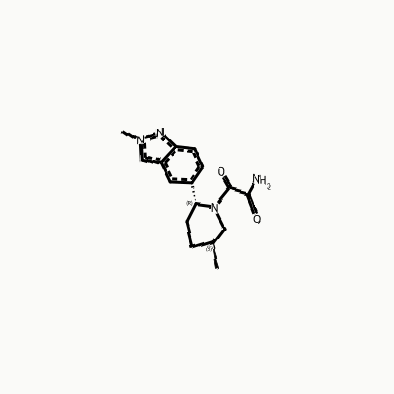 C[C@H]1CC[C@H](c2ccc3nn(C)cc3c2)N(C(=O)C(N)=O)C1